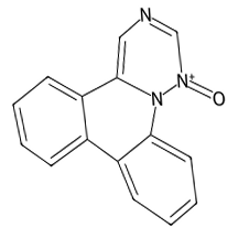 O=[n+]1cncc2c3ccccc3c3ccccc3n21